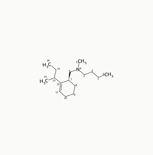 CCCCN(C)C[C@H]1CCCC=C1C(C)CC